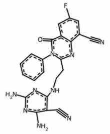 N#Cc1c(N)nc(N)nc1NCCc1nc2c(C#N)cc(F)cc2c(=O)n1-c1ccccc1